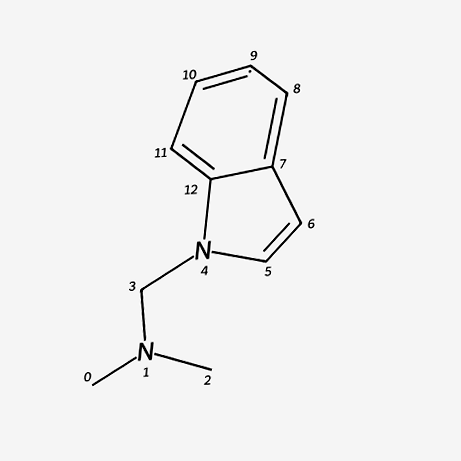 CN(C)Cn1ccc2c[c]ccc21